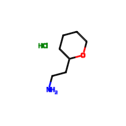 Cl.NCCC1CCCCO1